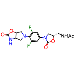 CC(=O)NC[C@H]1CN(c2cc(F)c(N3CC4NC(=O)OC4C3)c(F)c2)C(=O)O1